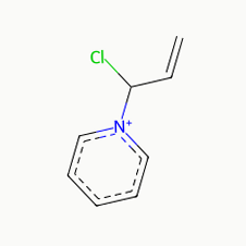 C=CC(Cl)[n+]1ccccc1